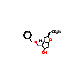 CCOC(=O)C=C1C[C@H]2C(C[C@@H](O)[C@@H]2COCc2ccccc2)O1